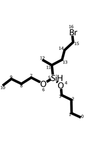 CCCCO[SiH](OCCCC)C(C)CCCBr